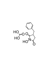 O=C(O)O.O=C1CC(Cc2ccccc2)C(=O)N1O